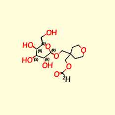 [2H]C(=O)OCC1(CO[C@@H]2O[C@H](CO)[C@H](O)[C@H](O)[C@H]2O)CCOCC1